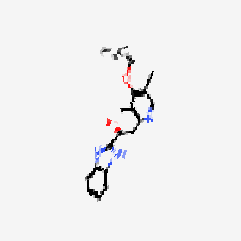 Cc1cnc(CC(=O)c2nc3ccccc3[nH]2)c(C)c1OCC(F)(F)F